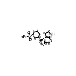 CCCS(=O)(=O)N1CCC[C@H](c2nnc3cnc4c(n23)CCN4)C1